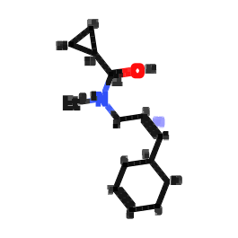 CCN(C/C=C\C1CC=CCC1)C(=O)C1CC1